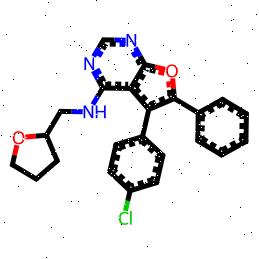 Clc1ccc(-c2c(-c3ccccc3)oc3ncnc(NCC4CCCO4)c23)cc1